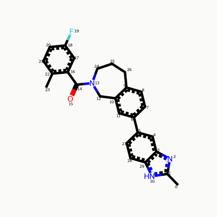 Cc1nc2cc(-c3ccc4c(c3)CN(C(=O)c3cc(F)ccc3C)CCC4)ccc2[nH]1